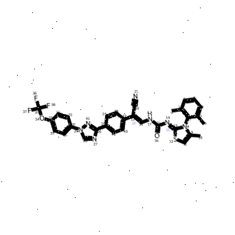 Cc1cccc(C)c1-n1c(C)cs/c1=N\C(=O)N/C=C(\C#N)c1ccc(-c2ncn(-c3ccc(OC(F)(F)F)cc3)n2)cc1